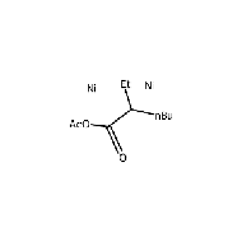 CCCCC(CC)C(=O)OC(C)=O.[Ni].[Ni]